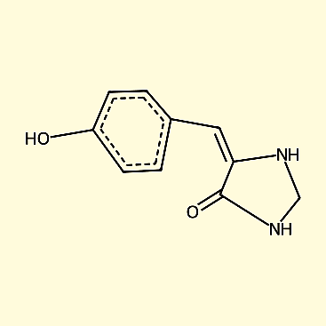 O=C1NCNC1=Cc1ccc(O)cc1